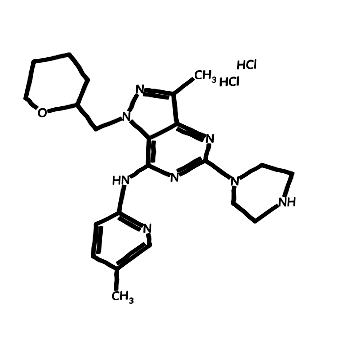 Cc1ccc(Nc2nc(N3CCNCC3)nc3c(C)nn(CC4CCCCO4)c23)nc1.Cl.Cl